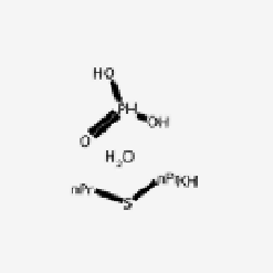 CCCSCCC.O.O=[PH](O)O.[KH]